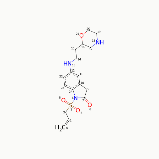 C=CCS(=O)(=O)N1C(=O)Cc2cc(NCCC3CNCCO3)ccc21